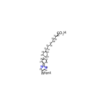 CCCCCc1cnc(-c2ccc([C@H]3CC[C@H](CCCCCCCC/C=C/C(=O)O)CC3)cc2)nc1